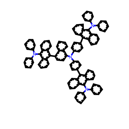 c1ccc(N(c2ccccc2)c2c3ccccc3c(-c3ccc(N(c4ccc(-c5c6ccccc6c(N(c6ccccc6)c6ccccc6)c6ccccc56)cc4)c4ccc(-c5c6ccccc6c(N(c6ccccc6)c6ccccc6)c6ccccc56)c5ccccc45)cc3)c3ccccc23)cc1